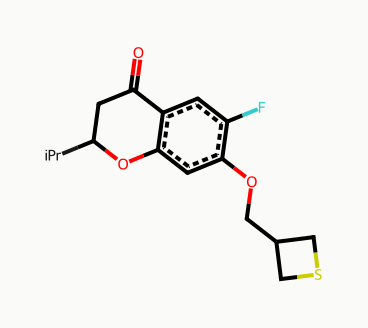 CC(C)C1CC(=O)c2cc(F)c(OCC3CSC3)cc2O1